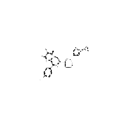 Cc1nc2c(-c3ccc(C#N)cc3)nc([C@@H]3CCO[C@@H](c4cnn(C5CC5)c4)C3)cn2c(=O)c1Cl